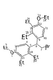 CCOc1ccc(C(CBr)c2ccc(OCC)c(CC)c2CC)c(CC)c1CC